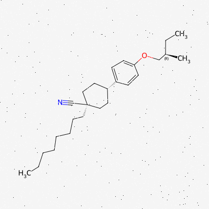 CCCCCCCC[C@]1(C#N)CC[C@H](c2ccc(OC[C@H](C)CC)cc2)CC1